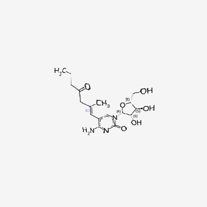 CCCC(=O)C/C(C)=C/c1cn([C@@H]2O[C@H](CO)[C@@H](O)[C@@H]2O)c(=O)nc1N